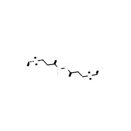 C=CS(=O)(=O)CCC(=O)NNC(=O)CCS(=O)(=O)C=C